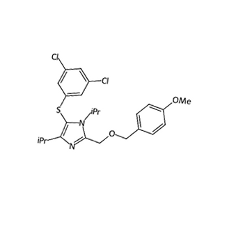 COc1ccc(COCc2nc(C(C)C)c(Sc3cc(Cl)cc(Cl)c3)n2C(C)C)cc1